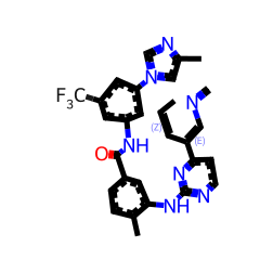 C=N/C=C(\C=C/C)c1ccnc(Nc2cc(C(=O)Nc3cc(-n4cnc(C)c4)cc(C(F)(F)F)c3)ccc2C)n1